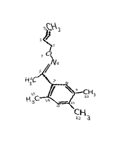 C=CCO/N=C(\C)c1cc(C)c(C)cc1C